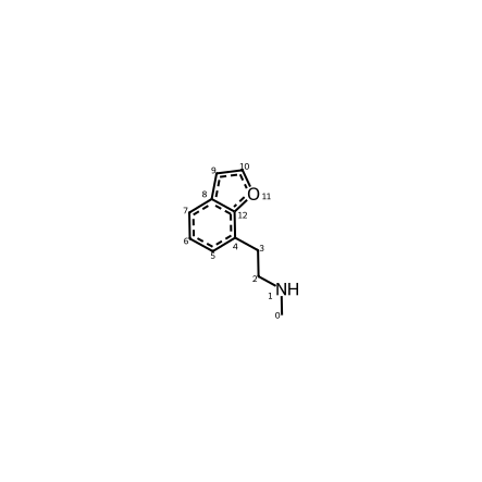 CNCCc1cccc2ccoc12